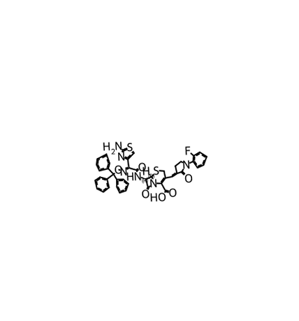 Nc1nc(C(=NOC(c2ccccc2)(c2ccccc2)c2ccccc2)C(=O)N[C@@H]2C(=O)N3C(C(=O)O)=C(C=C4CCN(c5ccccc5F)C4=O)CS[C@H]23)cs1